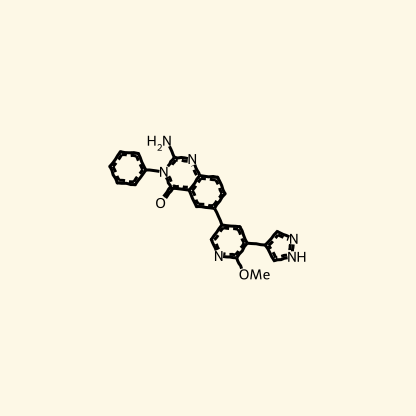 COc1ncc(-c2ccc3nc(N)n(-c4ccccc4)c(=O)c3c2)cc1-c1cn[nH]c1